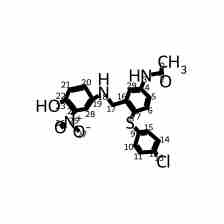 CC(=O)Nc1ccc(Sc2ccc(Cl)cc2)c(CNc2ccc(O)c([N+](=O)[O-])c2)c1